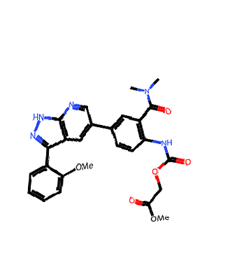 COC(=O)COC(=O)Nc1ccc(-c2cnc3[nH]nc(-c4ccccc4OC)c3c2)cc1C(=O)N(C)C